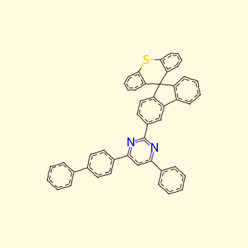 c1ccc(-c2ccc(-c3cc(-c4ccccc4)nc(-c4ccc5c(c4)-c4ccccc4C54c5ccccc5Sc5ccccc54)n3)cc2)cc1